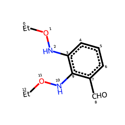 CCONc1cccc(C=O)c1NOCC